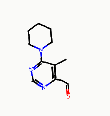 Cc1c(C=O)n[c]nc1N1CCCCC1